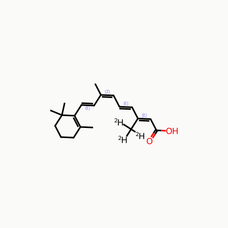 [2H]C([2H])([2H])C(/C=C/C=C(C)\C=C\C1=C(C)CCCC1(C)C)=C\C(=O)O